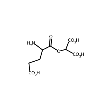 NC(CCC(=O)O)C(=O)OC(C(=O)O)C(=O)O